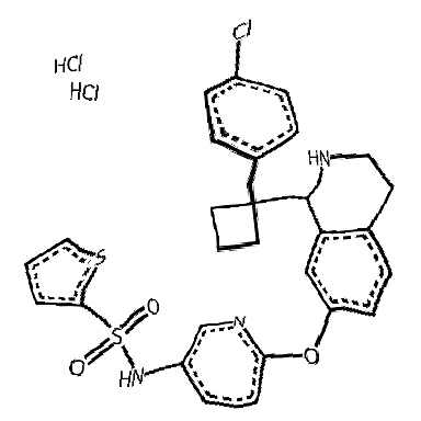 Cl.Cl.O=S(=O)(Nc1ccc(Oc2ccc3c(c2)C(C2(c4ccc(Cl)cc4)CCC2)NCC3)nc1)c1cccs1